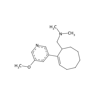 COc1cncc(C2=CCCCCCC2CN(C)C)c1